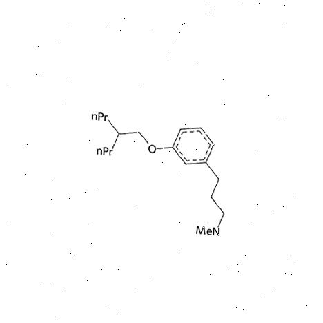 CCCC(CCC)COc1cccc(CCCNC)c1